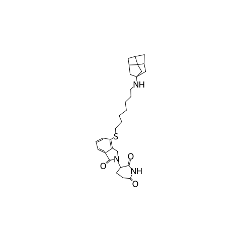 O=C1CCC(N2Cc3c(SCCCCCCCNC45CC6CC7CC(C4)C76C5)cccc3C2=O)C(=O)N1